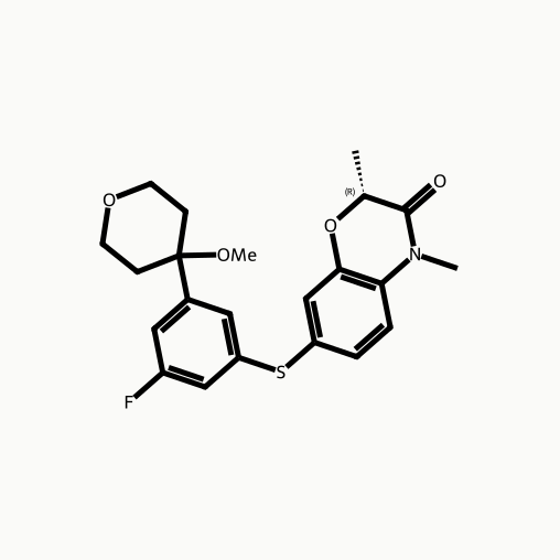 COC1(c2cc(F)cc(Sc3ccc4c(c3)O[C@H](C)C(=O)N4C)c2)CCOCC1